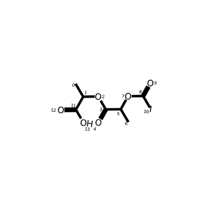 CC(OC(=O)C(C)OC(=O)I)C(=O)O